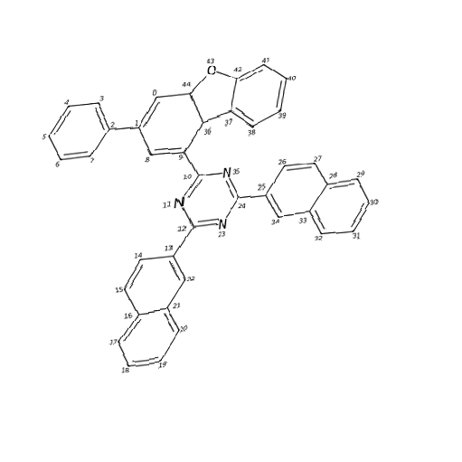 C1=C(c2ccccc2)C=C(c2nc(-c3ccc4ccccc4c3)nc(-c3ccc4ccccc4c3)n2)C2c3ccccc3OC12